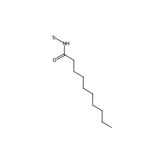 CCCCCCCCCC(=O)[NH][Ti]